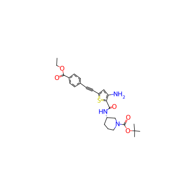 CCOC(=O)c1ccc(C#Cc2cc(N)c(C(=O)N[C@H]3CCCN(C(=O)OC(C)(C)C)C3)s2)cc1